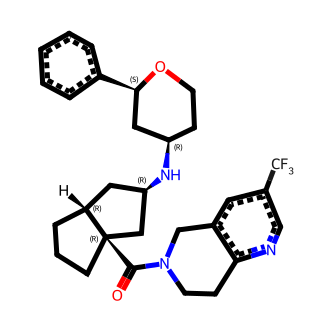 O=C(N1CCc2ncc(C(F)(F)F)cc2C1)[C@@]12CCC[C@@H]1C[C@@H](N[C@@H]1CCO[C@H](c3ccccc3)C1)C2